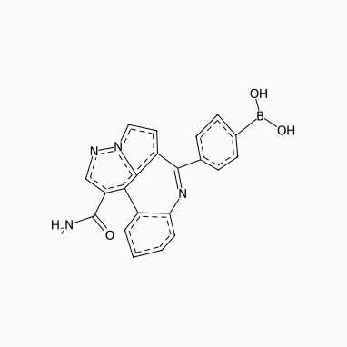 NC(=O)c1cnn2ccc3c2c1-c1ccccc1N=C3c1ccc(B(O)O)cc1